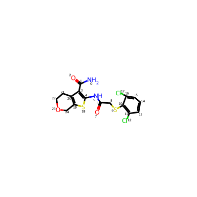 NC(=O)c1c(NC(=O)CSc2c(Cl)cccc2Cl)sc2c1CCOC2